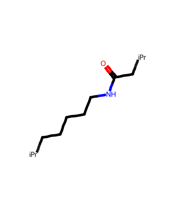 CC(C)CCCCCNC(=O)CC(C)C